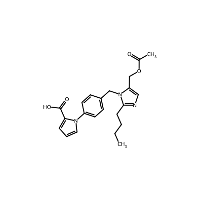 CCCCc1ncc(COC(C)=O)n1Cc1ccc(-n2cccc2C(=O)O)cc1